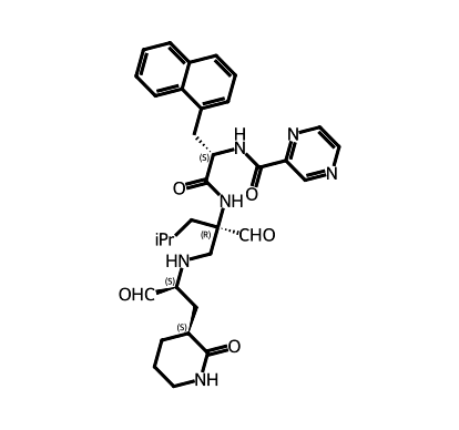 CC(C)C[C@](C=O)(CN[C@H](C=O)C[C@@H]1CCCNC1=O)NC(=O)[C@H](Cc1cccc2ccccc12)NC(=O)c1cnccn1